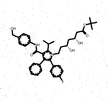 CC(C)c1c(C(=O)Nc2ccc(CO)cc2)c(-c2ccccc2)c(-c2ccc(F)cc2)n1CC[C@@H](O)C[C@@H](O)CC(=O)OC(C)(C)C